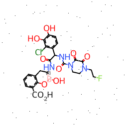 O=C(O)c1cccc2c1OB(O)[C@@H](NC(=O)C(NC(=O)N1CCN(CCF)C(=O)C1=O)c1ccc(O)c(O)c1Cl)C2